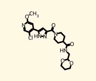 COc1cc(-c2cc(C(=O)N3CCC(C(=O)NCC4OCCCO4)CC3)n[nH]2)c(Cl)cn1